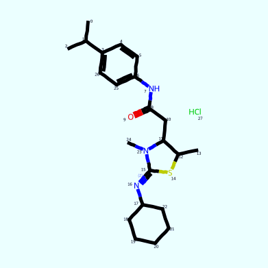 CC(C)c1ccc(NC(=O)CC2C(C)S/C(=N\C3CCCCC3)N2C)cc1.Cl